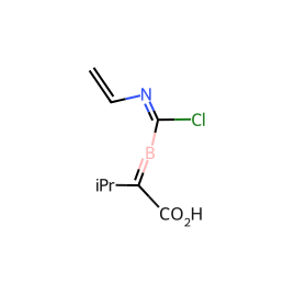 C=C/N=C(Cl)\B=C(\C(=O)O)C(C)C